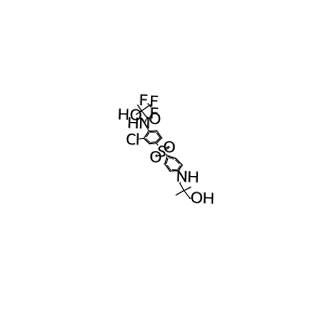 CC(C)(CO)CNc1ccc(S(=O)(=O)c2ccc(NC(=O)C(C)(O)C(F)(F)F)c(Cl)c2)cc1